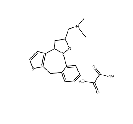 CN(C)CC1CC2c3ccsc3Cc3ccccc3N2O1.O=C(O)C(=O)O